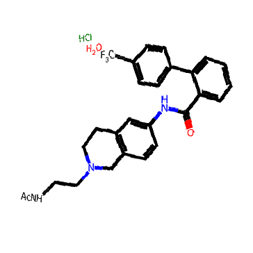 CC(=O)NCCN1CCc2cc(NC(=O)c3ccccc3-c3ccc(C(F)(F)F)cc3)ccc2C1.Cl.O